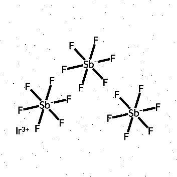 [F][Sb-]([F])([F])([F])([F])[F].[F][Sb-]([F])([F])([F])([F])[F].[F][Sb-]([F])([F])([F])([F])[F].[Ir+3]